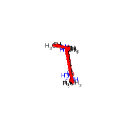 CC(C)Cc1ccc(CCCC(=O)NCCCCC(NC(=O)CCOCCOCCOCCOCCOCCOCCOCCOCCNC(=O)C(N)CCCCNC(=O)OC(C)(C)C)C(=O)OC(C)(C)C)cc1